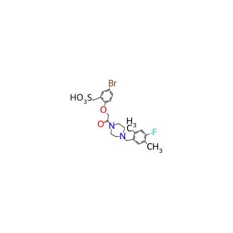 Cc1cc(CN2CCN(C(=O)COc3ccc(Br)cc3CS(=O)(=O)O)CC2)c(C)cc1F